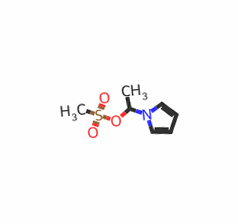 CC(OS(C)(=O)=O)n1cccc1